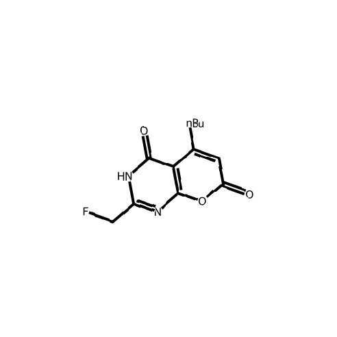 CCCCc1cc(=O)oc2nc(CF)[nH]c(=O)c12